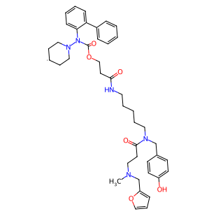 CN(CCC(=O)N(CCCCCNC(=O)CCOC(=O)N(c1ccccc1-c1ccccc1)N1CC[CH]CC1)Cc1ccc(O)cc1)Cc1ccco1